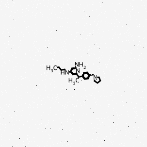 CCCCNc1cc(N)nc(C(C)c2ccc(CN3CCCC3)cc2)c1